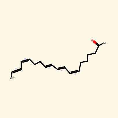 CCC/C=C/C=C\CC/C=C/C=C/C=C\CCCCC(=O)N=O